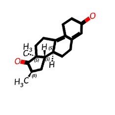 C[C@@H]1C[C@H]2[C@@H]3CCC4=CC(=O)CCC4=C3CC[C@]2(C)C1=O